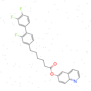 O=C(CCCCCc1ccc(-c2ccc(F)c(F)c2)c(F)c1)Oc1ccc2ncccc2c1